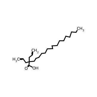 C=CCC(CC=C)(CCCCCCCCCCCCCCCC)C(=O)O